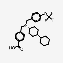 O=C(O)c1ccc(CN(Cc2ccc(OC(F)(F)F)cc2)[C@H]2CC[C@H](C3CCCCC3)CC2)cc1